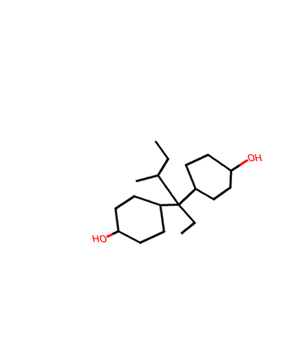 CCC(C)C(CC)(C1CCC(O)CC1)C1CCC(O)CC1